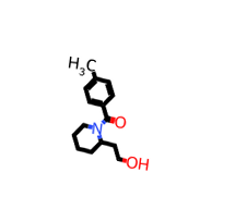 Cc1ccc(C(=O)N2CCCCC2CCO)cc1